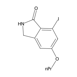 CCCOc1cc(I)c2c(c1)CNC2=O